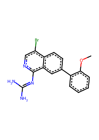 COc1ccccc1-c1ccc2c(Br)cnc(N=C(N)N)c2c1